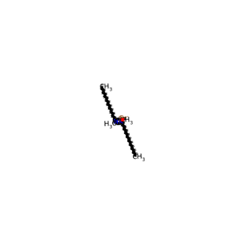 CCCCCCCCCCCCCCCCCC[N+]1(C)CC[N+](C)(CCCCCCCCCCCCCCCCCC)CC1.[Br-].[Br-]